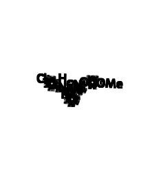 COc1ccc(OC2CCN(c3c(C#N)c(NCc4ccc(Cl)cc4)nc4ccccc34)C2)cc1